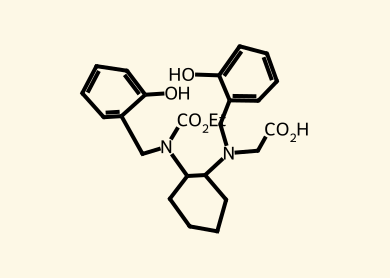 CCOC(=O)N(Cc1ccccc1O)C1CCCCC1N(CC(=O)O)Cc1ccccc1O